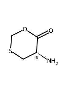 N[C@@H]1CSCOC1=O